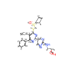 N#Cc1c(SC[S+]([O-])C2CCC2)nc(-c2cnc(NCCO)nc2)nc1-c1ccccc1